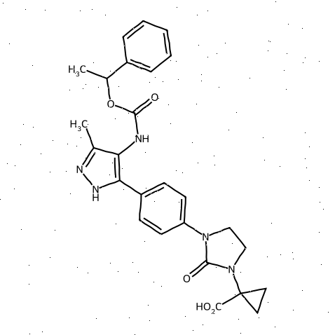 Cc1n[nH]c(-c2ccc(N3CCN(C4(C(=O)O)CC4)C3=O)cc2)c1NC(=O)OC(C)c1ccccc1